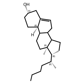 CCCC[C@@H](C)[C@H]1CCC2C3CC=C4C[C@@H](O)CC[C@@H]4C3CC[C@@]21C